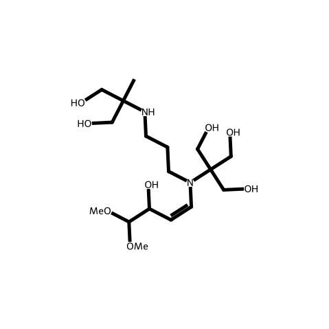 COC(OC)C(O)/C=C\N(CCCNC(C)(CO)CO)C(CO)(CO)CO